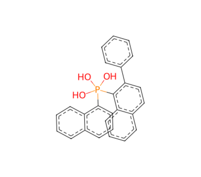 OP(O)(O)(c1cccc2ccccc12)c1c(-c2ccccc2)ccc2ccccc12